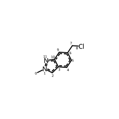 Cn1cc2ccc(CCl)cc2n1